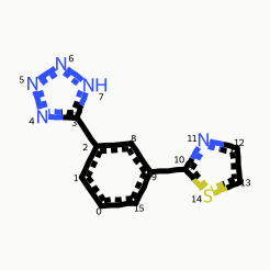 c1cc(-c2nnn[nH]2)cc(-c2nccs2)c1